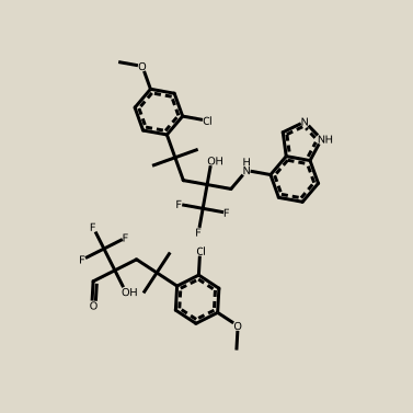 COc1ccc(C(C)(C)CC(O)(C=O)C(F)(F)F)c(Cl)c1.COc1ccc(C(C)(C)CC(O)(CNc2cccc3[nH]ncc23)C(F)(F)F)c(Cl)c1